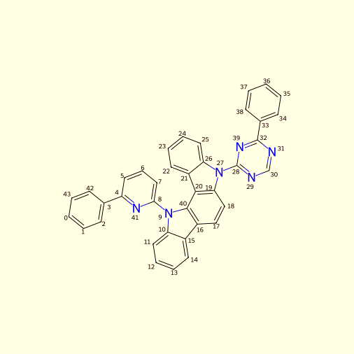 c1ccc(-c2cccc(-n3c4ccccc4c4ccc5c(c6ccccc6n5-c5ncnc(-c6ccccc6)n5)c43)n2)cc1